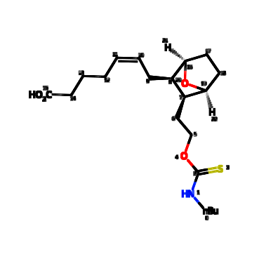 CCCCNC(=S)OCC[C@H]1[C@@H](C/C=C\CCCC(=O)O)[C@H]2CC[C@@H]1O2